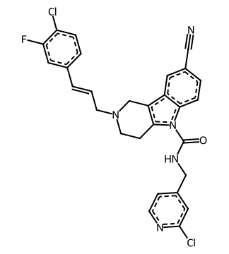 N#Cc1ccc2c(c1)c1c(n2C(=O)NCc2ccnc(Cl)c2)CCN(CC=Cc2ccc(Cl)c(F)c2)C1